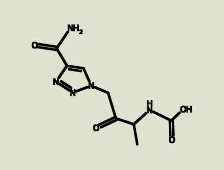 CC(NC(=O)O)C(=O)Cn1cc(C(N)=O)nn1